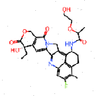 CC[C@@]1(O)C(=O)OCc2c1cc1n(c2=O)Cc2c-1nc1cc(F)c(C)c3c1c2[C@@H](NC(=O)C(C)OCCO)CC3